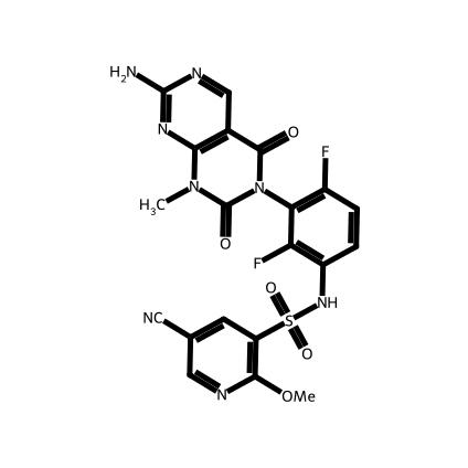 COc1ncc(C#N)cc1S(=O)(=O)Nc1ccc(F)c(-n2c(=O)c3cnc(N)nc3n(C)c2=O)c1F